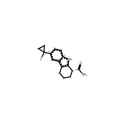 NC(=O)[C@@H]1CCCc2c1[nH]c1ccc(C3(F)CC3)cc21